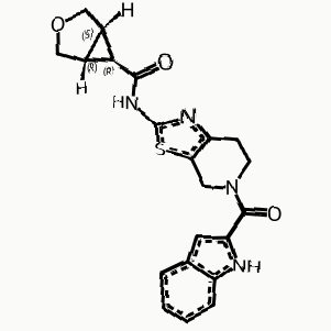 O=C(Nc1nc2c(s1)CN(C(=O)c1cc3ccccc3[nH]1)CC2)[C@H]1[C@@H]2COC[C@@H]21